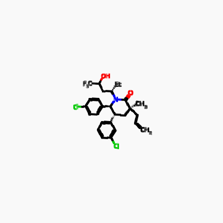 C=CC[C@@]1(C)C[C@H](c2cccc(Cl)c2)[C@@H](c2ccc(Cl)cc2)N([C@@H](CC)CC(O)C(F)(F)F)C1=O